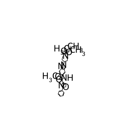 COc1cc2nn(C3CCN(C(=O)OC(C)(C)C)CC3)cc2cc1NC(=O)c1coc(-c2ccccc2)n1